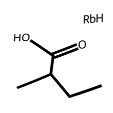 CCC(C)C(=O)O.[RbH]